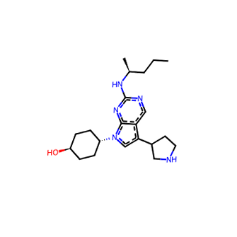 CCC[C@H](C)Nc1ncc2c(C3CCNC3)cn([C@H]3CC[C@H](O)CC3)c2n1